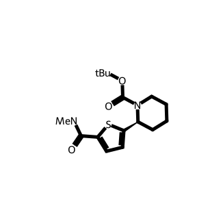 CNC(=O)c1ccc([C@@H]2CCCCN2C(=O)OC(C)(C)C)s1